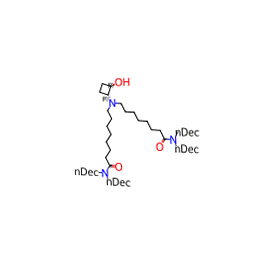 CCCCCCCCCCN(CCCCCCCCCC)C(=O)CCCCCCCN(CCCCCCCC(=O)N(CCCCCCCCCC)CCCCCCCCCC)[C@@H]1CC[C@H]1O